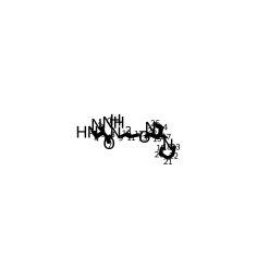 Nc1n[nH]cc1C(=O)NCC=CCOc1cc(CN2CCCCC2)ccn1